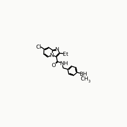 CBc1ccc(CNC(=O)c2c(CC)nc3cc(Cl)ccn23)cc1